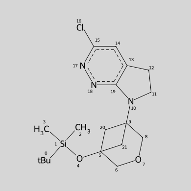 CC(C)(C)[Si](C)(C)OC12COCC(N3CCc4cc(Cl)nnc43)(C1)C2